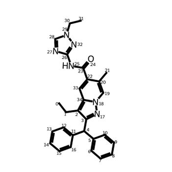 CCc1c(C(c2ccccc2)c2ccccc2)nn2cc(C)c(C(=O)Nc3ncn(CC)n3)cc12